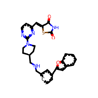 O=C1NC(=O)C(=Cc2ccnc(N3CCC(CNCc4cccc(-c5cc6ccccc6o5)c4)CC3)n2)S1